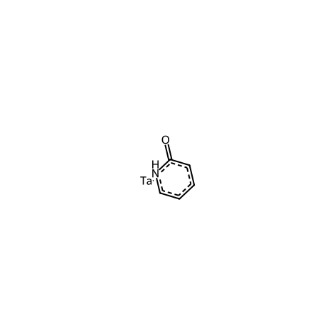 O=c1cccc[nH]1.[Ta]